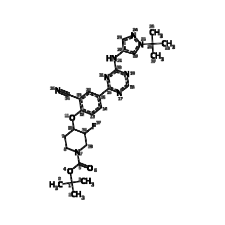 CC(C)(C)OC(=O)N1CCC(Oc2ccc(-c3ncnc(Nc4cnn(C(C)(C)C)c4)n3)cc2C#N)C(F)C1